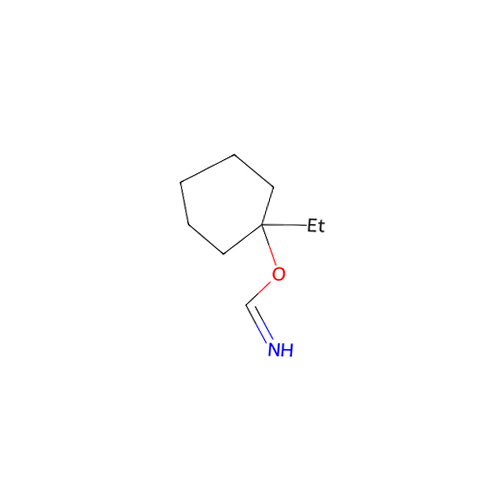 CCC1(OC=N)CCCCC1